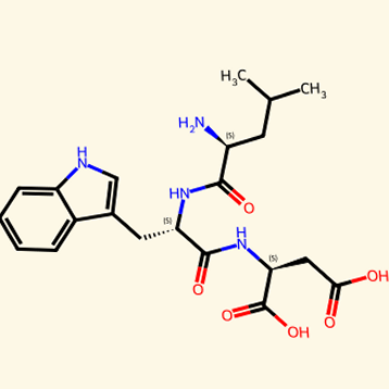 CC(C)C[C@H](N)C(=O)N[C@@H](Cc1c[nH]c2ccccc12)C(=O)N[C@@H](CC(=O)O)C(=O)O